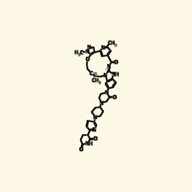 Cc1cc2cc(n1)-c1cnn(C)c1OCCC[C@@H](C)CN1/C(=N/C2=O)Nc2ccc(N3CCN(C4CCN(c5ccc(C6CCC(=O)NC6=O)nc5)CC4)CC3=O)cc21